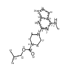 CNc1nc(N2CCN(C(=O)OCC(C)C)CC2)nc2sccc12